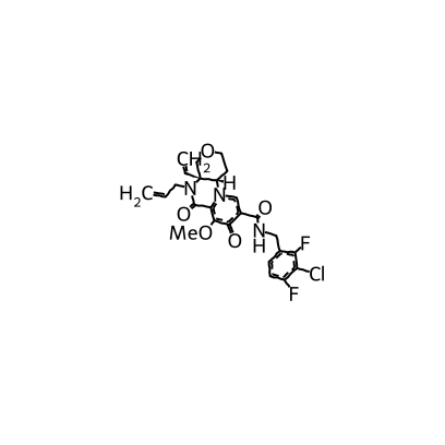 C=CCN1C(=O)c2c(OC)c(=O)c(C(=O)NCc3ccc(F)c(Cl)c3F)cn2[C@H]2CCOC[C@]21C=C